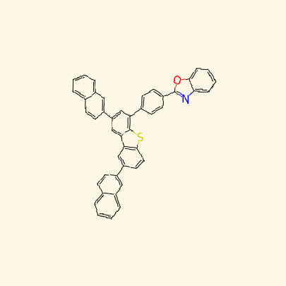 c1ccc2cc(-c3ccc4sc5c(-c6ccc(-c7nc8ccccc8o7)cc6)cc(-c6ccc7ccccc7c6)cc5c4c3)ccc2c1